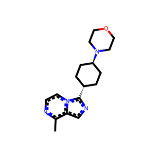 Cc1nccn2c1cnc2[C@H]1CC[C@H](N2CCOCC2)CC1